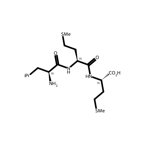 CSCC[C@H](NC(=O)[C@H](CCSC)NC(=O)[C@@H](N)CC(C)C)C(=O)O